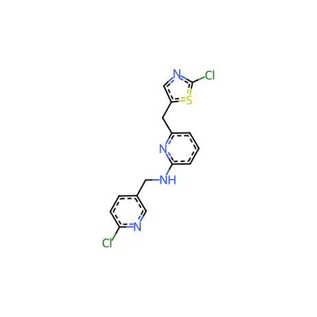 Clc1ccc(CNc2cccc(Cc3cnc(Cl)s3)n2)cn1